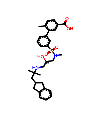 Cc1ccc(C(=O)O)cc1-c1cccc(S(=O)(=O)N(C)C[C@H](O)CNC(C)(C)CC2Cc3ccccc3C2)c1